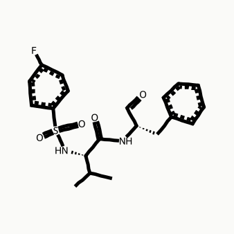 CC(C)[C@H](NS(=O)(=O)c1ccc(F)cc1)C(=O)N[C@H](C=O)Cc1ccccc1